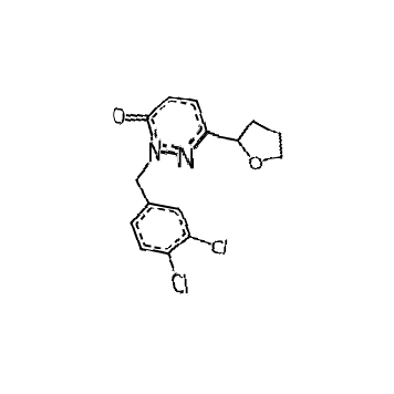 O=c1ccc(C2CCCO2)nn1Cc1ccc(Cl)c(Cl)c1